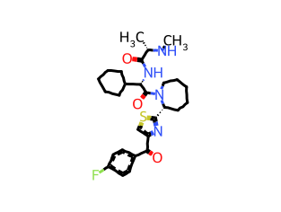 CN[C@@H](C)C(=O)N[C@H](C(=O)N1CCCCC[C@@H]1c1nc(C(=O)c2ccc(F)cc2)cs1)C1CCCCC1